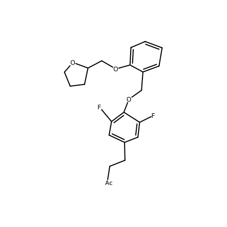 CC(=O)CCc1cc(F)c(OCc2ccccc2OCC2CCCO2)c(F)c1